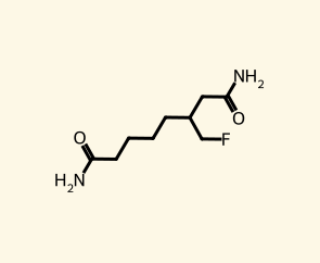 NC(=O)CCCCC(CF)CC(N)=O